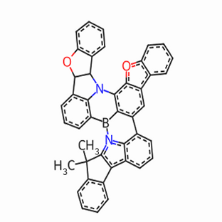 CC1(C)c2ccccc2-c2c1n1c3c(cccc23)-c2cc3c(oc4ccccc43)c3c2B1c1cccc2c1N3C1c3ccccc3OC21